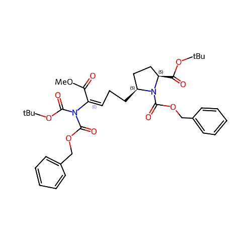 COC(=O)/C(=C\CC[C@H]1CC[C@@H](C(=O)OC(C)(C)C)N1C(=O)OCc1ccccc1)N(C(=O)OCc1ccccc1)C(=O)OC(C)(C)C